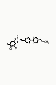 CCCc1cnc(-c2ccc(/C=C/C(F)(F)Oc3cc(F)c(Cl)c(F)c3)cc2)nc1